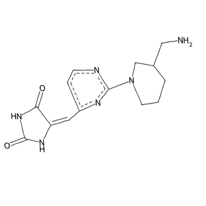 NCC1CCCN(c2nccc(C=C3NC(=O)NC3=O)n2)C1